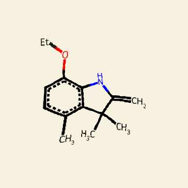 C=C1Nc2c(OCC)ccc(C)c2C1(C)C